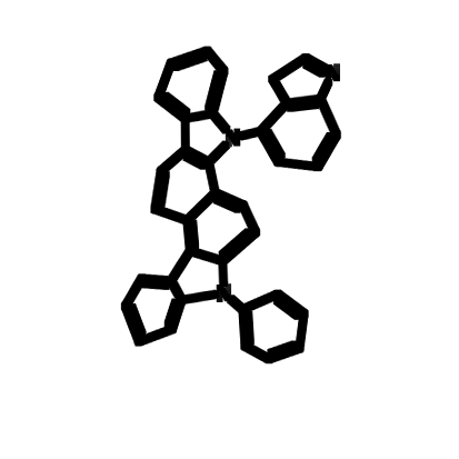 C1=Nc2cccc(-n3c4ccccc4c4ccc5c(ccc6c5c5ccccc5n6-c5ccccc5)c43)c2C1